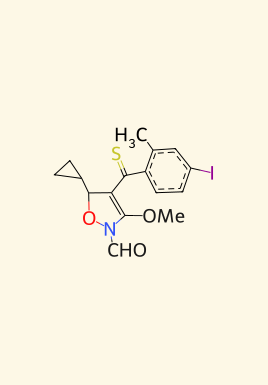 COC1=C(C(=S)c2ccc(I)cc2C)C(C2CC2)ON1C=O